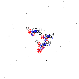 C[N+](C)(C)CC(NC(=O)OCc1ccccc1)C(=O)[C@@](N)(CC(=O)O)Cc1ccccc1.C[N+](C)(C)CC(NC(=O)OCc1ccccc1)C(=O)[C@@](N)(CC(=O)O)Cc1ccccc1.C[N+](C)(C)CC(NC(=O)OCc1ccccc1)C(=O)[C@@](N)(CC(=O)O)Cc1ccccc1.O=P([O-])([O-])[O-]